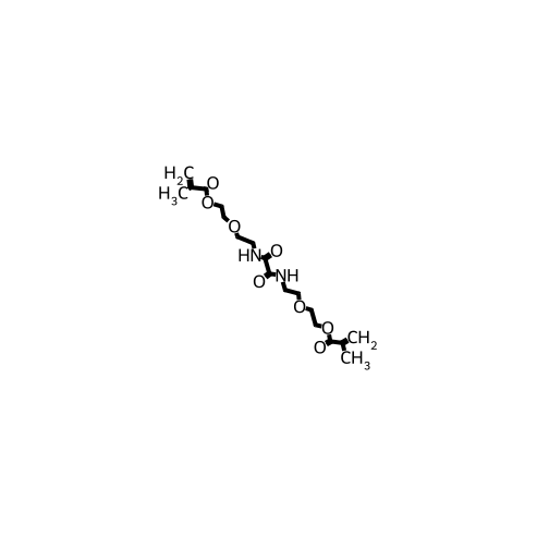 C=C(C)C(=O)OCCOCCNC(=O)C(=O)NCCOCCOC(=O)C(=C)C